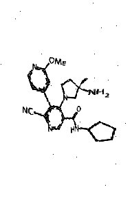 COc1cc(-c2c(C#N)ncc(C(=O)NC3CCCC3)c2N2CC[C@](C)(N)C2)ccn1